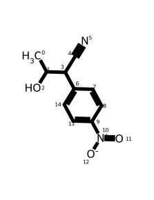 CC(O)C(C#N)c1ccc([N+](=O)[O-])cc1